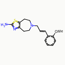 COc1ccccc1/C=C/CN1CCc2nc(N)sc2CC1